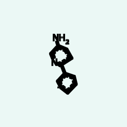 Nc1ccc(-c2c[c]ccc2)nc1